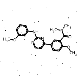 COc1cccc(Nc2nccc(-c3ccc(OC)c(C(=O)N(C)C)c3)n2)c1